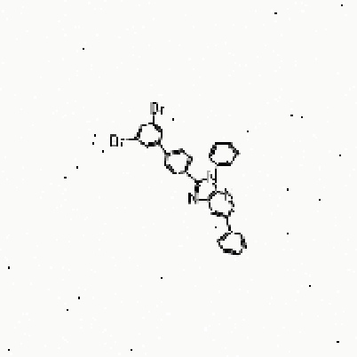 Brc1cc(Br)cc(-c2ccc(-c3nc4cc(-c5ccccc5)cnc4n3-c3ccccc3)cc2)c1